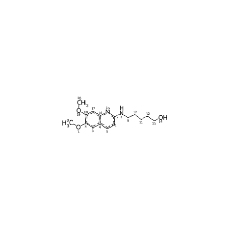 COc1cc2ccc(NCCCCCO)nc2cc1OC